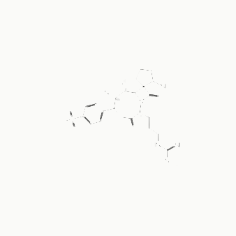 CS(=O)(=O)c1ccc(C2OC(=O)[C@H](CCCNC(=N)N)N3C(=O)C4(CCCC4N)C3[C@@H](O)[C@H]2N)cc1